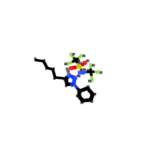 CCCCCc1cn(-c2ccccc2)nn1.O=S(=O)(NC(F)(F)F)C(F)(F)F